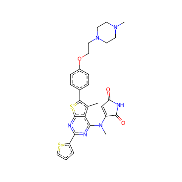 Cc1c(-c2ccc(OCCN3CCN(C)CC3)cc2)sc2nc(-c3cccs3)nc(N(C)C3=CC(=O)NC3=O)c12